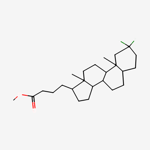 COC(=O)CCCC1CCC2C3CCC4CCC(F)(F)CC4(C)C3CCC12C